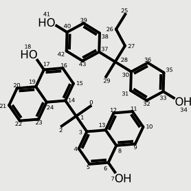 CC(C)(c1ccc(O)c2ccccc12)c1ccc(O)c2ccccc12.CCCC(C)(c1ccc(O)cc1)c1ccc(O)cc1